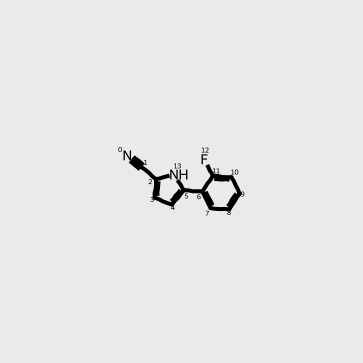 N#Cc1ccc(-c2ccccc2F)[nH]1